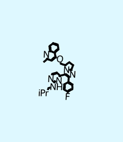 Cc1cc(OCC2CCc3nc(-c4ccc(F)cc4)c(-c4ccnc(NCC(C)C)n4)n32)c2ccccc2n1